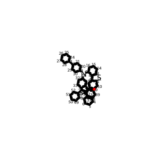 C(=C(/c1ccccc1)c1ccc2sc3cccc(N(c4ccc(-c5ccccc5)cc4)c4ccc5sc6ccccc6c5c4)c3c2c1)/c1ccccc1